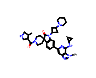 CC1CNCC1C(=O)N1CCC2(CC1)C(=O)N(C1CC(N3CCCCC3)C1)c1cc(-c3cc4ncn(C(C)C)c4c(NC4CC4)n3)ccc12